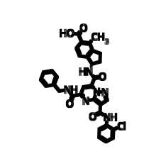 Cc1c(C(=O)O)ccc2c1CC[C@@H]2NC(=O)c1cc(C(=O)NCc2ccccc2)nc2c(C(=O)Nc3ccccc3Cl)cnn12